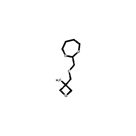 CC1(COCC2OCCCCO2)COC1